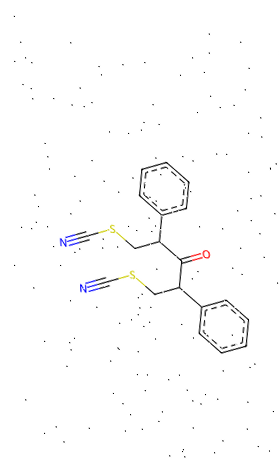 N#CSCC(C(=O)C(CSC#N)c1ccccc1)c1ccccc1